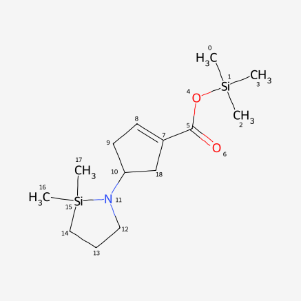 C[Si](C)(C)OC(=O)C1=CCC(N2CCC[Si]2(C)C)C1